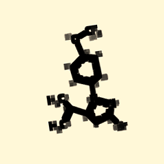 C=C(C)c1cc(Br)nn1-c1ccc(OC(F)(F)F)cc1